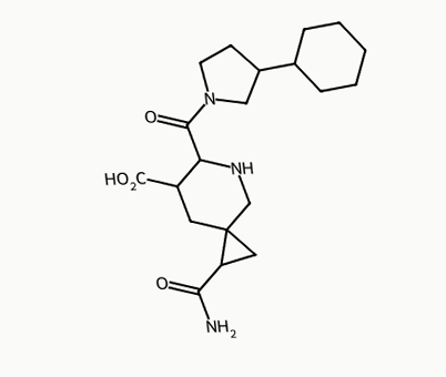 NC(=O)C1CC12CNC(C(=O)N1CCC(C3CCCCC3)C1)C(C(=O)O)C2